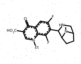 CCn1cc(C(=O)O)c(=O)c2cc(F)c(C3NCC4CCC3N4C)c(F)c21